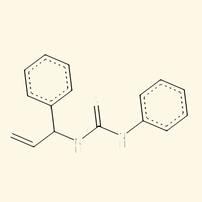 C=CC(NC(=S)Nc1ccccc1)c1ccccc1